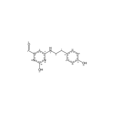 O=Cc1cc(NCCc2ccc(O)cc2)nc(O)n1